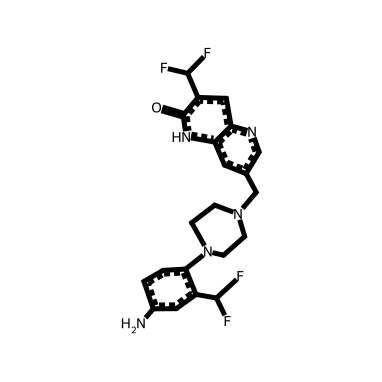 Nc1ccc(N2CCN(Cc3cnc4cc(C(F)F)c(=O)[nH]c4c3)CC2)c(C(F)F)c1